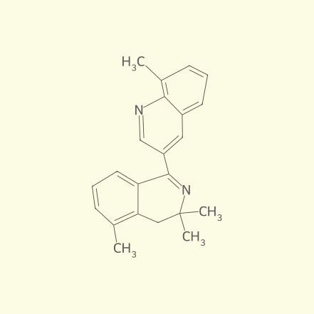 Cc1cccc2c1CC(C)(C)N=C2c1cnc2c(C)cccc2c1